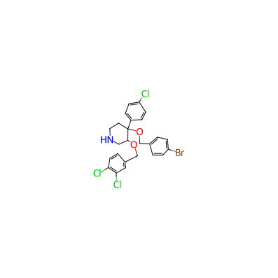 Clc1ccc(C2(OCc3ccc(Br)cc3)CCNCC2OCc2ccc(Cl)c(Cl)c2)cc1